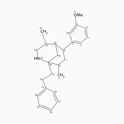 COc1cccc(C2CC(C)C3(CCc4ccccc4)CC2C(C)CN3)c1